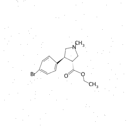 CCOC(=O)[C@H]1CN(C)C[C@@H]1c1ccc(Br)cc1